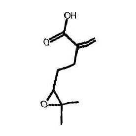 C=C(CCC1OC1(C)C)C(=O)O